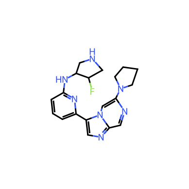 FC1CNCC1Nc1cccc(-c2cnc3cnc(N4CCCC4)cn23)n1